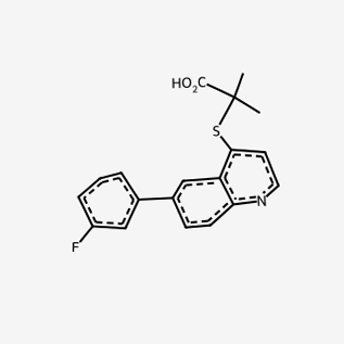 CC(C)(Sc1ccnc2ccc(-c3cccc(F)c3)cc12)C(=O)O